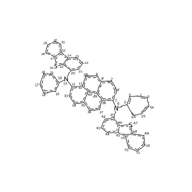 C1=CC=C(N(c2ccc3ccc4c(N(c5ccccc5)c5cccc6c5sc5ccccc56)ccc5ccc2c3c54)c2cccc3c2sc2ccccc23)CC=C1